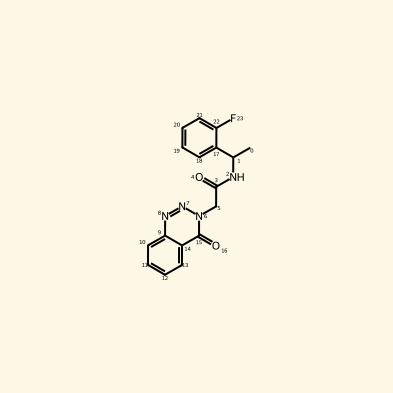 CC(NC(=O)Cn1nnc2ccccc2c1=O)c1ccccc1F